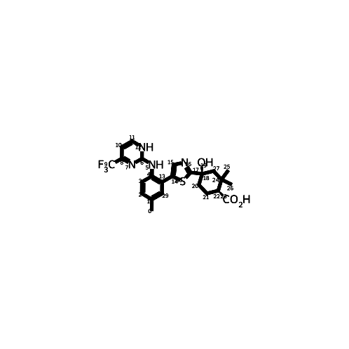 Cc1ccc(NC2N=C(C(F)(F)F)C=CN2)c(-c2cnc([C@@]3(O)CC[C@H](C(=O)O)C(C)(C)C3)s2)c1